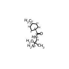 CC(C)(N)CNC(=O)[C@H]1CC[C@H](C)CC1